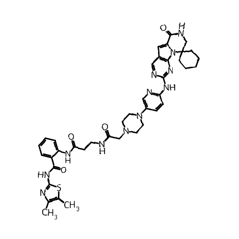 Cc1nc(NC(=O)c2ccccc2NC(=O)CCNC(=O)CN2CCN(c3ccc(Nc4ncc5cc6n(c5n4)C4(CCCCC4)CNC6=O)nc3)CC2)sc1C